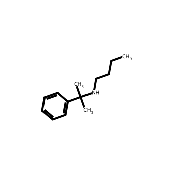 CCCCNC(C)(C)c1ccccc1